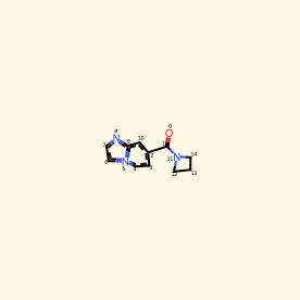 O=C(c1ccn2ccnc2c1)N1CCC1